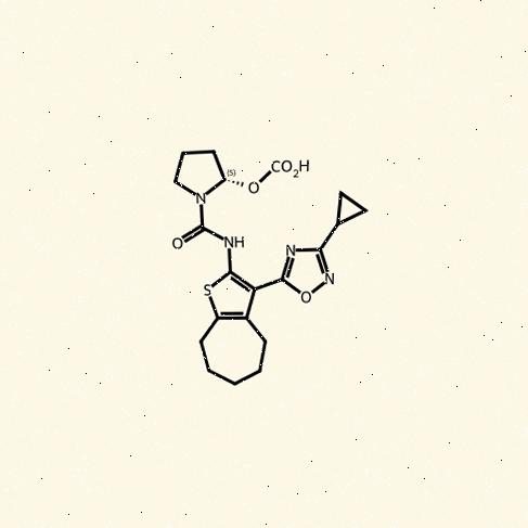 O=C(O)O[C@H]1CCCN1C(=O)Nc1sc2c(c1-c1nc(C3CC3)no1)CCCCC2